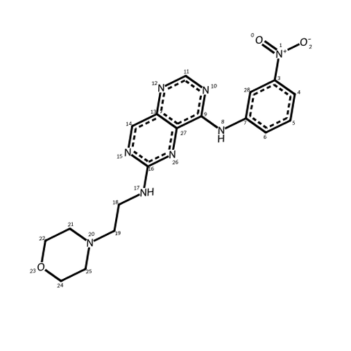 O=[N+]([O-])c1cccc(Nc2ncnc3cnc(NCCN4CCOCC4)nc23)c1